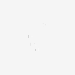 CCC=CCNCCC.Cl